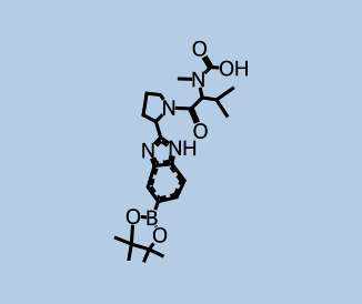 CC(C)C(C(=O)N1CCCC1c1nc2cc(B3OC(C)(C)C(C)(C)O3)ccc2[nH]1)N(C)C(=O)O